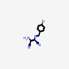 N#CC(N)=C(C#N)N=Cc1ccc(Br)cc1